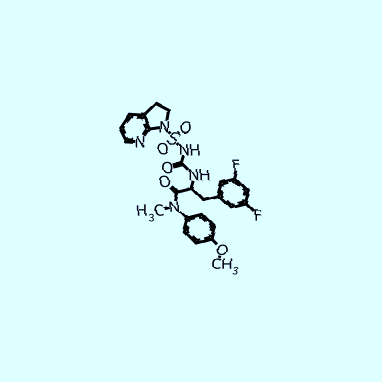 COc1ccc(N(C)C(=O)C(Cc2cc(F)cc(F)c2)NC(=O)NS(=O)(=O)N2CCc3cccnc32)cc1